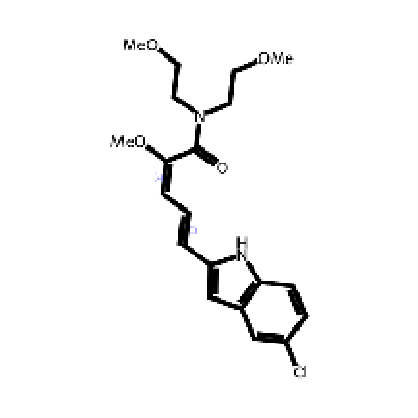 COCCN(CCOC)C(=O)/C(=C\C=C\c1cc2cc(Cl)ccc2[nH]1)OC